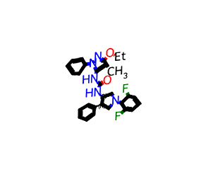 CCOc1nn(C2C=CC=CC2)c(NC(=O)N[C@@H]2CN(C3C(F)=CC=CC3F)C[C@H]2c2ccccc2)c1C